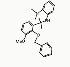 COc1cccc(C(C)(C)Pc2ccccc2N(C)C)c1OCc1ccccc1